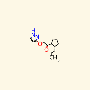 CCCC1CCCC1C(=O)COc1cc[nH]n1